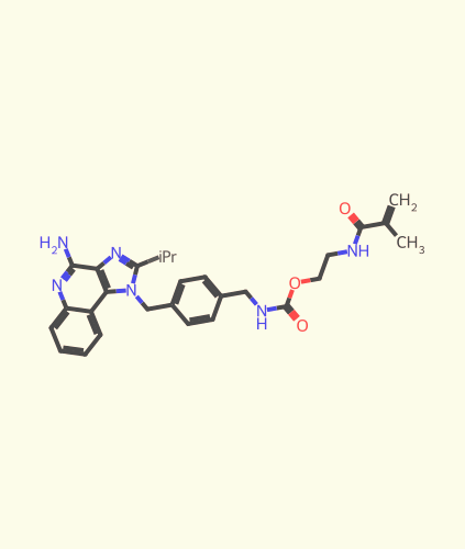 C=C(C)C(=O)NCCOC(=O)NCc1ccc(Cn2c(C(C)C)nc3c(N)nc4ccccc4c32)cc1